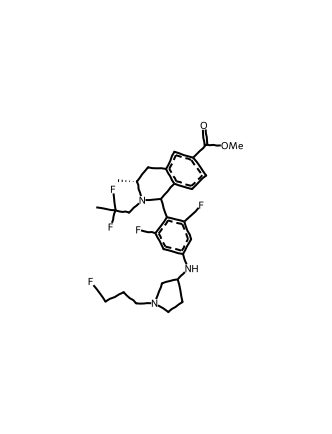 COC(=O)c1ccc2c(c1)C[C@@H](C)N(CC(C)(F)F)C2c1c(F)cc(NC2CCN(CCCF)C2)cc1F